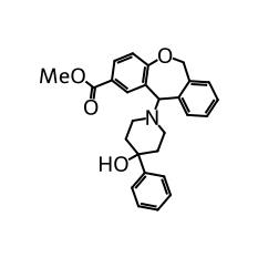 COC(=O)c1ccc2c(c1)C(N1CCC(O)(c3ccccc3)CC1)c1ccccc1CO2